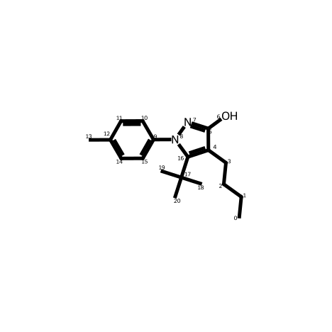 CCCCc1c(O)nn(-c2ccc(C)cc2)c1C(C)(C)C